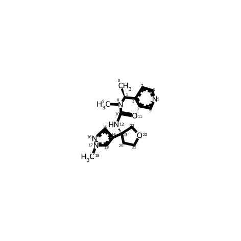 C[C@@H](c1ccncc1)N(C)C(=O)N[C@@]1(c2cnn(C)c2)CCOC1